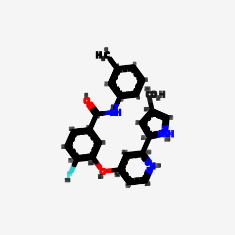 Cc1cccc(NC(=O)c2ccc(F)c(Oc3ccnc(-c4cc(C(=O)O)c[nH]4)c3)c2)c1